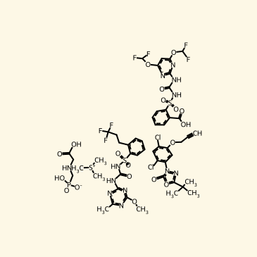 C#CCOc1cc(-n2nc(C(C)(C)C)oc2=O)c(Cl)cc1Cl.COc1nc(C)nc(NC(=O)NS(=O)(=O)c2ccccc2CCC(F)(F)F)n1.C[S+](C)C.O=C(Nc1nc(OC(F)F)cc(OC(F)F)n1)NS(=O)(=O)c1ccccc1C(=O)O.O=C(O)CNCP(=O)([O-])O